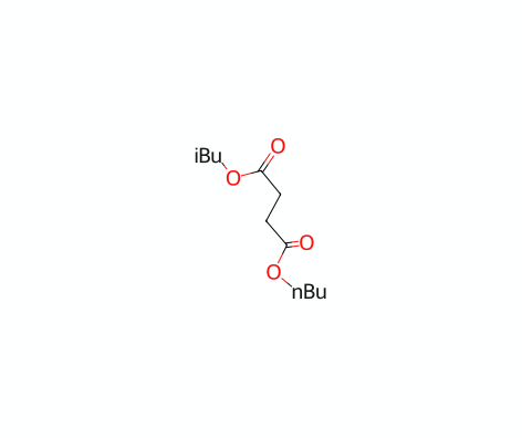 CCCCOC(=O)CCC(=O)OC(C)CC